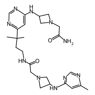 Cc1cc(NC2CN(CC(=O)NCCC(C)(C)c3cc(NC4CN(CC(N)=O)C4)ncn3)C2)ncn1